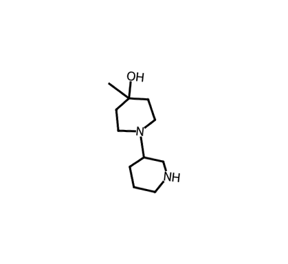 CC1(O)CCN(C2CCCNC2)CC1